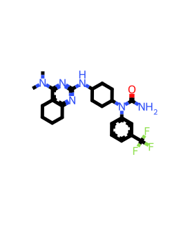 CN(C)c1nc(NC2CCC(N(C(N)=O)c3cccc(C(F)(F)F)c3)CC2)nc2c1CCCC2